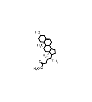 COC(=O)CC[C@@H](C)C1CCC2C3CC=C4C[C@@H](O)CC[C@]4(C)C3CC[C@@]21C